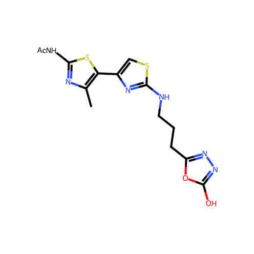 CC(=O)Nc1nc(C)c(-c2csc(NCCCc3nnc(O)o3)n2)s1